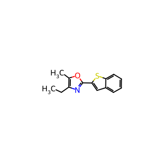 CCc1nc(-c2cc3ccccc3s2)oc1C